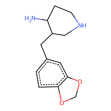 NC1CCNCC1Cc1ccc2c(c1)OCO2